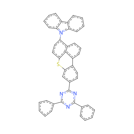 c1ccc(-c2nc(-c3ccccc3)nc(-c3ccc4c(c3)Sc3ccc(-n5c6ccccc6c6ccccc65)c5cccc-4c35)n2)cc1